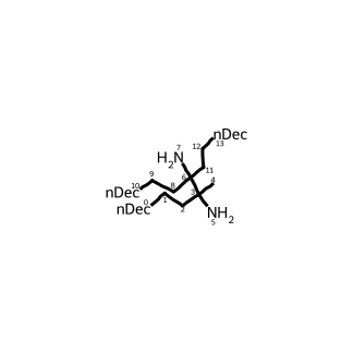 CCCCCCCCCCCCC(C)(N)C(N)(CCCCCCCCCCCC)CCCCCCCCCCCC